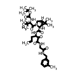 C=CCC(NC(=O)[C@@H]1[C@H]2[C@@H](CN1C(=O)[C@@H](NC(=O)OC(C)(C)C)C(C)(C)C)C2(C)C)C(=O)C(=O)NCC(=O)NCc1cccc(C)c1